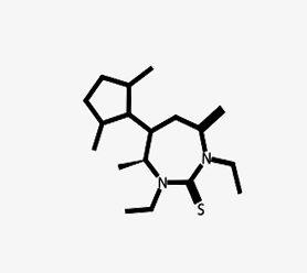 C=C1CC(C2C(C)CCC2C)[C@H](C)N(CC)C(=S)N1CC